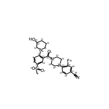 CS(=O)(=O)c1ccc(N2CCCC(O)C2)c(C(=O)N2CCN(c3ccc(C#N)cc3F)CC2)c1